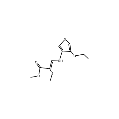 CCOc1cscc1NC=C(SC)C(=O)OC